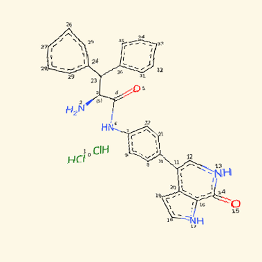 Cl.Cl.N[C@H](C(=O)Nc1ccc(-c2c[nH]c(=O)c3[nH]ccc23)cc1)C(c1ccccc1)c1ccccc1